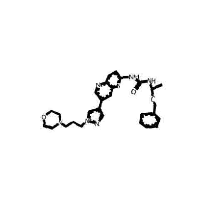 CC(CCc1ccccc1)NC(=O)Nc1ccc2ncc(-c3cnn(CCCN4CCOCC4)c3)cc2n1